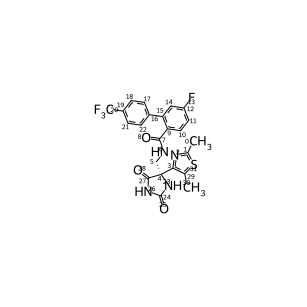 Cc1nc([C@@]2(CNC(=O)c3ccc(F)cc3-c3ccc(C(F)(F)F)cc3)NC(=O)NC2=O)c(C)s1